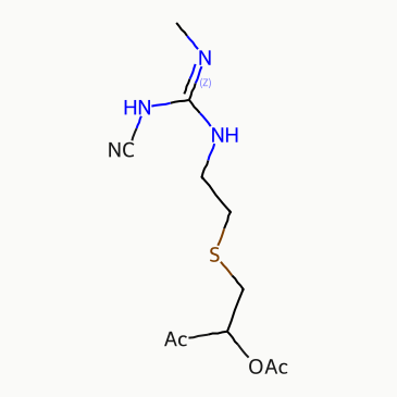 C/N=C(\NC#N)NCCSCC(OC(C)=O)C(C)=O